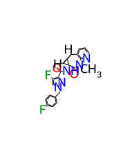 CN1C(=O)[C@]2(NC(=O)c3nn(Cc4ccc(F)cc4)cc3F)C3[C@@H](c4cccnc41)[C@H]32